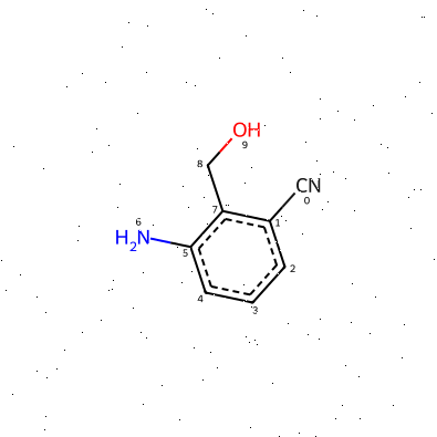 N#Cc1cccc(N)c1CO